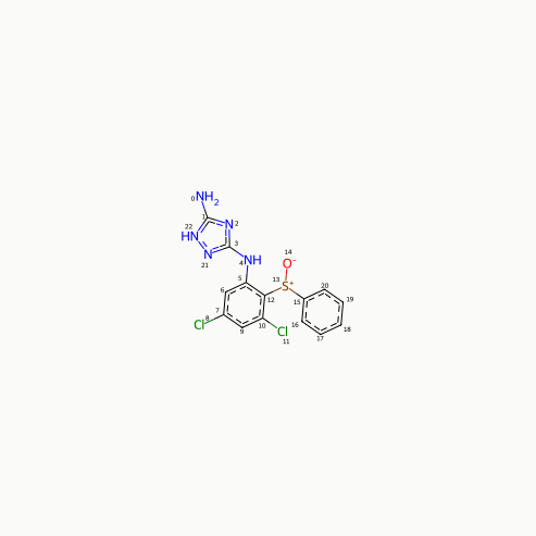 Nc1nc(Nc2cc(Cl)cc(Cl)c2[S+]([O-])c2ccccc2)n[nH]1